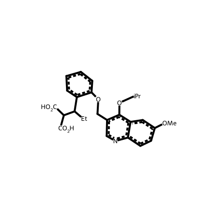 CCC(c1ccccc1OCc1cnc2ccc(OC)cc2c1OC(C)C)C(C(=O)O)C(=O)O